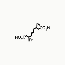 CC(C)[C@H](C/C=C/C[C@H](CC(=O)O)C(C)C)CC(=O)O